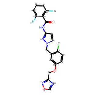 O=C(Nc1ccn(Cc2cc(OCc3ncon3)ccc2Cl)n1)c1c(F)cccc1F